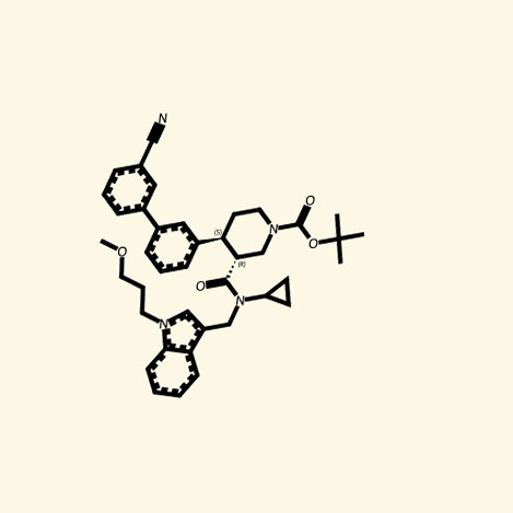 COCCCn1cc(CN(C(=O)[C@H]2CN(C(=O)OC(C)(C)C)CC[C@@H]2c2cccc(-c3cccc(C#N)c3)c2)C2CC2)c2ccccc21